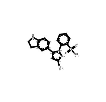 NS(=O)(=O)c1ccccc1-n1nc(C(F)(F)F)cc1-c1ccc2c(c1)CCN2